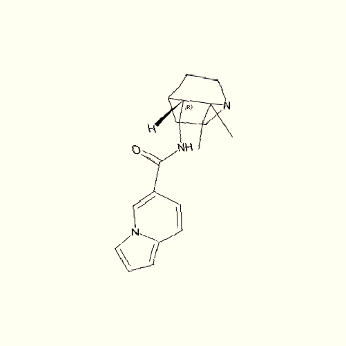 CC1(C)[C@H](NC(=O)c2ccc3cccn3c2)C2CCN1CC2